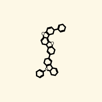 C1=CC(C2C=Cc3oc4c(c3C2)=C2OC3=C(C=C(C5=CC6=C(CC5)N(C5=CCCC=C5)C5CCC=CC65)CC3)C2CC=4)=CCC1